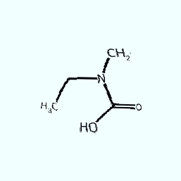 [CH2]N(CC)C(=O)O